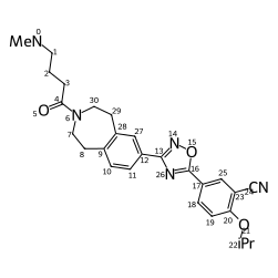 CNCCCC(=O)N1CCc2ccc(-c3noc(-c4ccc(OC(C)C)c(C#N)c4)n3)cc2CC1